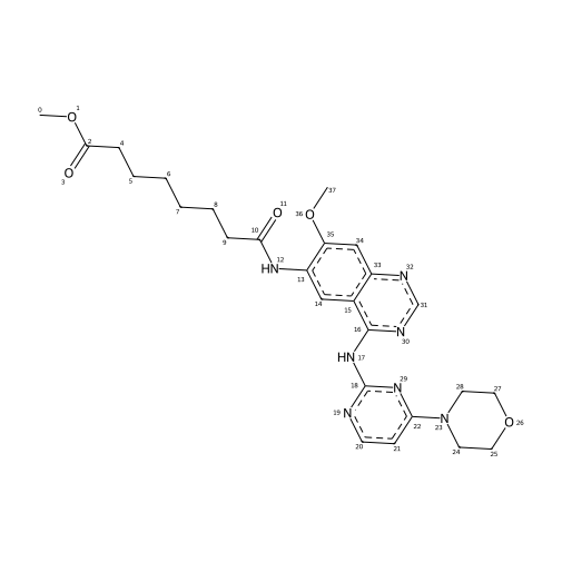 COC(=O)CCCCCCC(=O)Nc1cc2c(Nc3nccc(N4CCOCC4)n3)ncnc2cc1OC